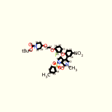 Cc1ccc(S(=O)(=O)n2ccc3c(-c4cc([N+](=O)[O-])ccc4Oc4cccc(OCCOC5CCN(C(=O)OC(C)(C)C)CC5)c4F)cn(C)c(=O)c32)cc1